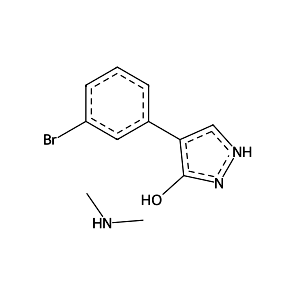 CNC.Oc1n[nH]cc1-c1cccc(Br)c1